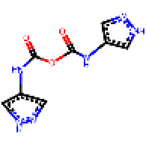 O=C(Nc1cn[nH]c1)OC(=O)Nc1cn[nH]c1